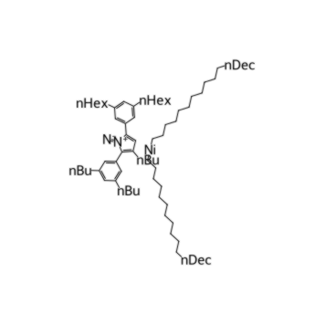 CCCCCCCCCCCCCCCCCCCC[CH2][Ni][CH2]CCCCCCCCCCCCCCCCCCCC.CCCCCCc1cc(CCCCCC)cc(C2=CC(CCCC)=C(c3cc(CCCC)cc(CCCC)c3)[N+]2=[N-])c1